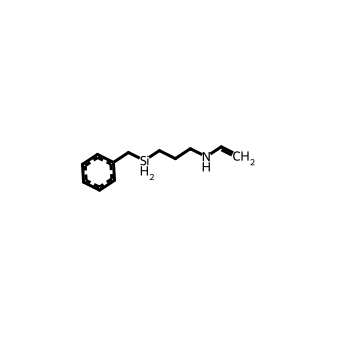 C=CNCCC[SiH2]Cc1ccccc1